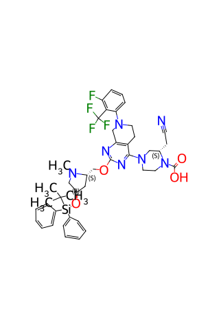 CN1C[C@H](O[Si](c2ccccc2)(c2ccccc2)C(C)(C)C)C[C@H]1COc1nc2c(c(N3CCN(C(=O)O)[C@@H](CC#N)C3)n1)CCN(c1cccc(F)c1C(F)(F)F)C2